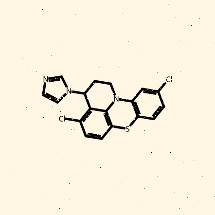 Clc1ccc2c(c1)N1CCC(n3ccnc3)c3c(Cl)ccc(c31)S2